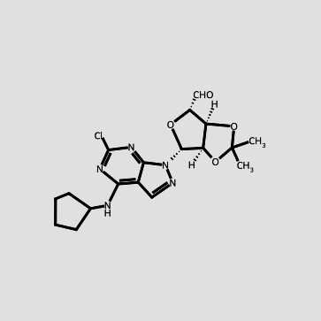 CC1(C)O[C@@H]2[C@H](O1)[C@@H](C=O)O[C@H]2n1ncc2c(NC3CCCC3)nc(Cl)nc21